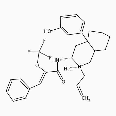 C=CC[N@+]1(C)CC2CCCCC2(c2cccc(O)c2)C[C@H]1NC(=O)C(=Cc1ccccc1)OC(F)(F)F